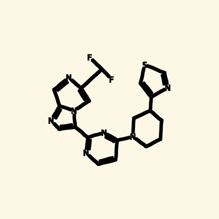 FC(F)c1cn2c(-c3nccc(N4CCCC(c5cscn5)C4)n3)cnc2cn1